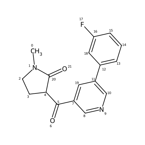 CN1CCC(C(=O)c2cncc(-c3cccc(F)c3)c2)C1=O